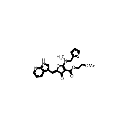 COCCOC(=O)C1=C(N(C)Cc2cccs2)OC(=Cc2c[nH]c3ncccc23)C1=O